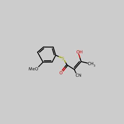 COc1cccc(SC(=O)C(C#N)=C(C)O)c1